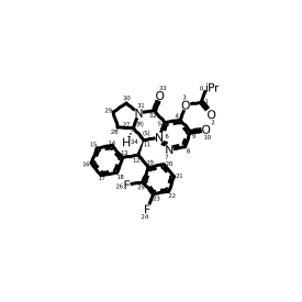 CC(C)C(=O)Oc1c2n(ncc1=O)[C@@H](C(c1ccccc1)c1cccc(F)c1F)[C@H]1CCCN1C2=O